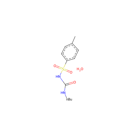 CCCCNC(=O)NS(=O)(=O)c1ccc(C)cc1.O